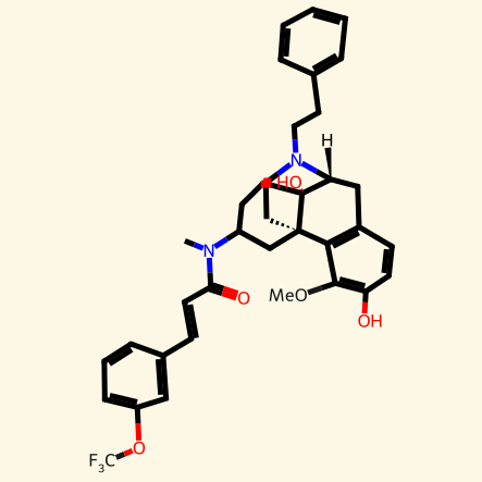 COc1c(O)ccc2c1[C@]13CCN(CCc4ccccc4)[C@H](C2)[C@]1(O)CCC(N(C)C(=O)/C=C/c1cccc(OC(F)(F)F)c1)C3